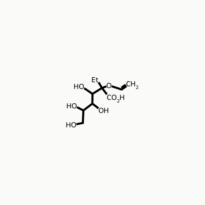 C=COC(CC)(C(=O)O)C(O)C(O)C(O)CO